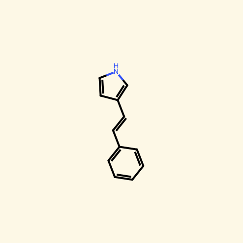 C(=Cc1cc[nH]c1)c1ccccc1